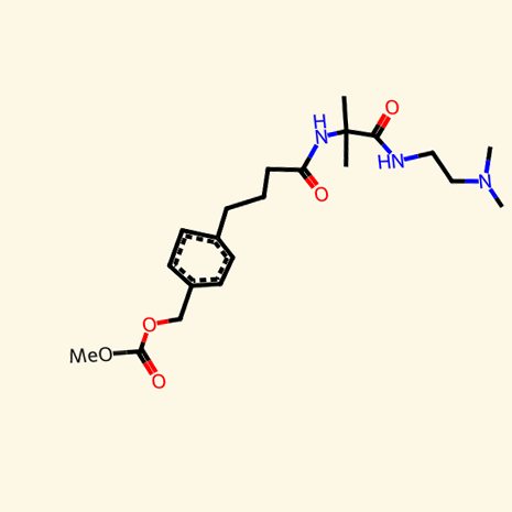 COC(=O)OCc1ccc(CCCC(=O)NC(C)(C)C(=O)NCCN(C)C)cc1